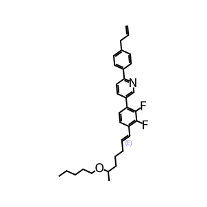 C=CCc1ccc(-c2ccc(-c3ccc(/C=C/CCCC(C)OCCCCC)c(F)c3F)cn2)cc1